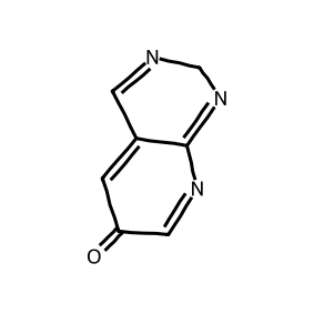 O=C1C=NC2=NCN=CC2=C1